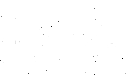 C=CCCCC[CH]OC